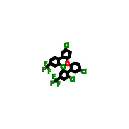 FC(F)(F)c1ccc(-c2cc(Cl)ccc2Oc2ccc(Cl)cc2-c2ccc(C(F)(F)F)cc2Cl)c(Cl)c1